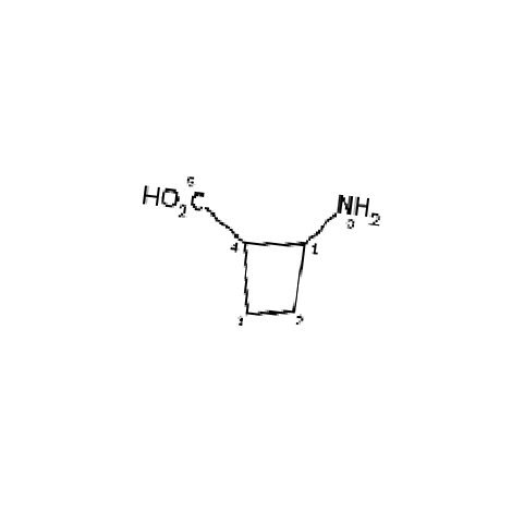 NC1CCC1C(=O)O